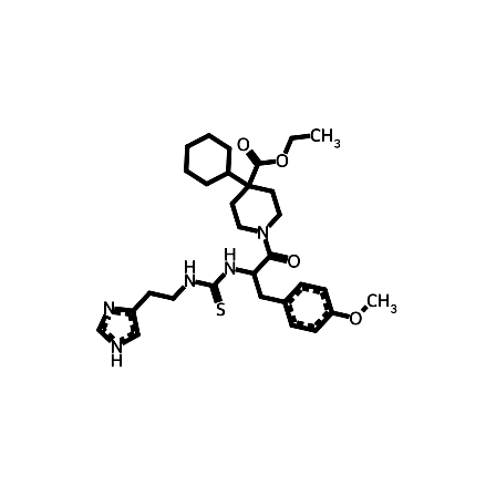 CCOC(=O)C1(C2CCCCC2)CCN(C(=O)C(Cc2ccc(OC)cc2)NC(=S)NCCc2c[nH]cn2)CC1